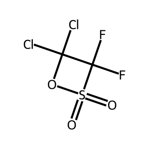 O=S1(=O)OC(Cl)(Cl)C1(F)F